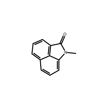 CN1C(=O)c2cccc3cccc1c23